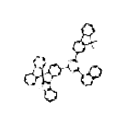 CC1(C)c2ccccc2-c2ccc(-c3nc(-c4ccc5c(c4)-c4c(oc6ccccc46)C54c5ccccc5-c5ccccc54)nc(-c4cccc5ccccc45)n3)cc21